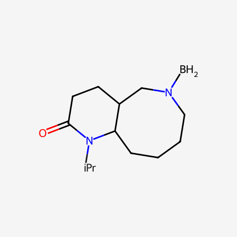 BN1CCCCC2C(CCC(=O)N2C(C)C)C1